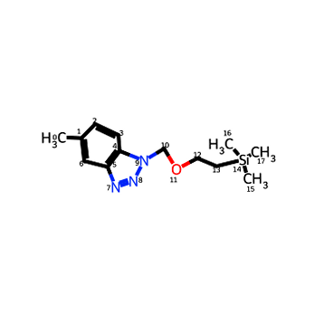 Cc1ccc2c(c1)nnn2COCC[Si](C)(C)C